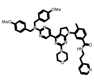 COc1ccc(CN(Cc2ccc(OC)cc2)c2ncc(-c3nc(N4CCOCC4)nc4c3CCN4c3cc(C(=O)NCCc4cccnc4)ccc3C)cn2)cc1